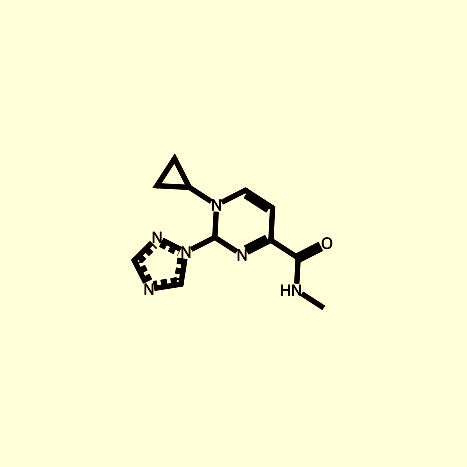 CNC(=O)C1=NC(n2cncn2)N(C2CC2)C=C1